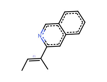 C/C=C(\C)c1cc2ccccc2cn1